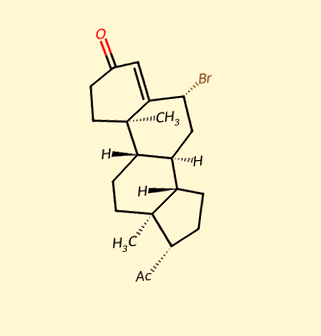 CC(=O)[C@H]1CC[C@H]2[C@@H]3C[C@@H](Br)C4=CC(=O)CC[C@]4(C)[C@H]3CC[C@]12C